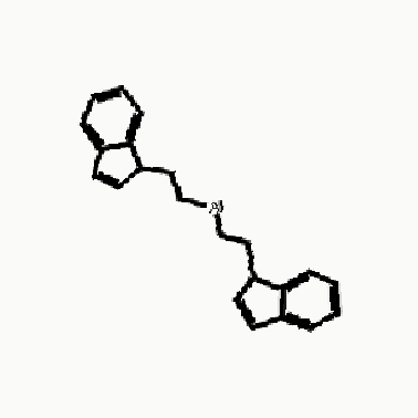 C1=CC(C[CH2][Al][CH2]CC2C=Cc3ccccc32)c2ccccc21